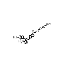 CCOCCOCCOCCOCCC(=O)N1CCc2cc(Cn3nc(-c4cnc5oc(N)nc5c4)c4c(N)ncnc43)ccc2C1